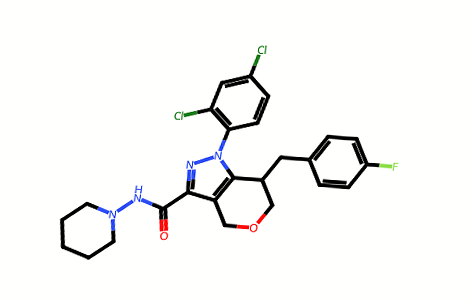 O=C(NN1CCCCC1)c1nn(-c2ccc(Cl)cc2Cl)c2c1COCC2Cc1ccc(F)cc1